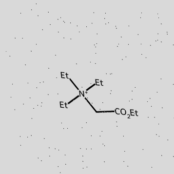 CCOC(=O)C[N+](CC)(CC)CC